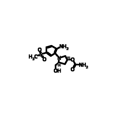 CS(=O)(=O)c1ccc(N)c(N2C[C@@H](OC(N)=O)C[C@H]2CO)c1